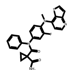 CN(c1ccc(N(C(=O)C2(C(N)=O)CC2)c2ccccc2)cc1F)c1ccnc2ccsc12